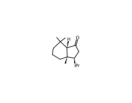 CC(C)[C@@H]1CC(=O)[C@H]2C(C)(C)CCC[C@@]12C